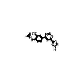 Clc1cc(-c2cc(-c3nn[nH]n3)ncn2)ccc1CN1CC1